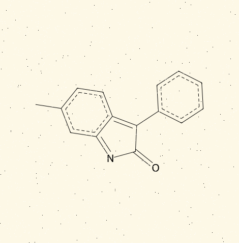 Cc1ccc2c(c1)=NC(=O)C=2c1ccccc1